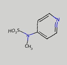 CN(c1ccncc1)S(=O)(=O)O